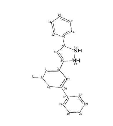 CC1C=C(C2=CC(c3ccccc3)NN2)C=C(c2ccccc2)C1